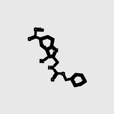 CCn1c(CNC(=O)OCc2ccccc2)nc2ccc(C(=O)OC)cc21